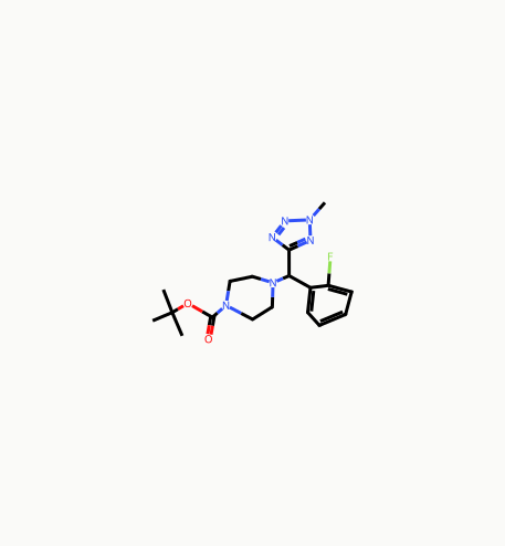 Cn1nnc(C(c2ccccc2F)N2CCN(C(=O)OC(C)(C)C)CC2)n1